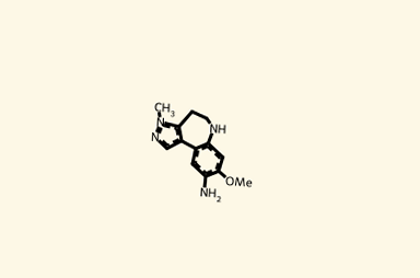 COc1cc2c(cc1N)-c1cnn(C)c1CCN2